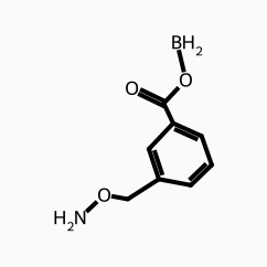 BOC(=O)c1cccc(CON)c1